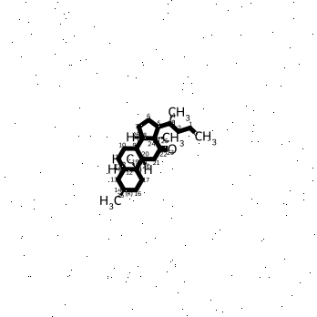 CCC[C@@H](C)C1CC[C@H]2C3CC[C@@H]4C[C@H](C)CC[C@]4(C)[C@H]3CC(=O)[C@]12C